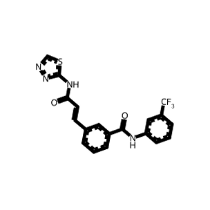 O=C(C=Cc1cccc(C(=O)Nc2cccc(C(F)(F)F)c2)c1)Nc1nncs1